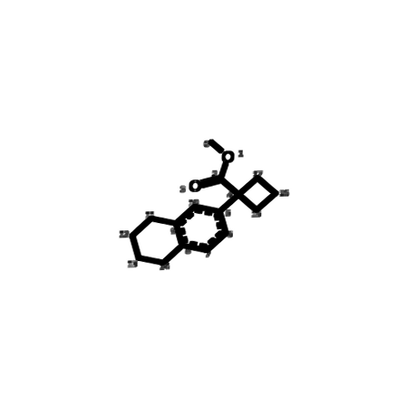 COC(=O)C1(c2ccc3c(c2)CCCC3)CCC1